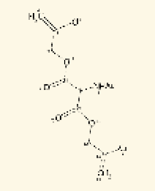 C=C(Cl)COC(=O)C(NC(C)=O)C(=O)OCC(=C)Cl